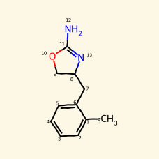 Cc1ccccc1CC1COC(N)=N1